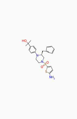 CC(C)(O)c1ccc(N2CCN(S(=O)(=O)c3ccc(N)s3)C[C@@H]2Cc2ccccc2)cc1